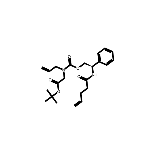 C=CCCC(=O)N[C@@H](COC(=O)N(CC=C)CC(=O)OC(C)(C)C)c1ccccc1